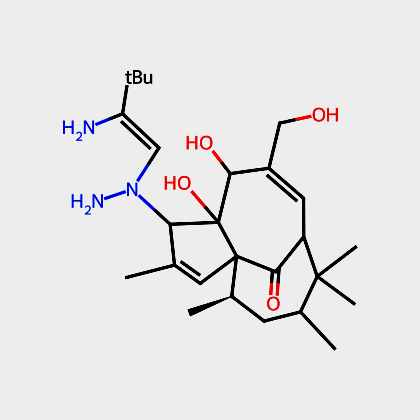 CC1=CC23C(=O)C(C=C(CO)C(O)C2(O)C1N(N)/C=C(\N)C(C)(C)C)C(C)(C)C(C)C[C@H]3C